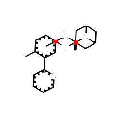 CCOC1CC2CC(C1)N2C(=O)Nc1ccc(C)c(-c2ccccn2)c1